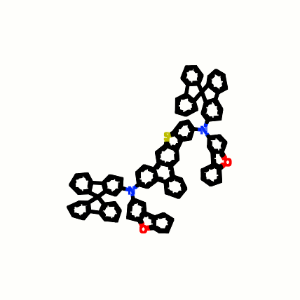 c1ccc2c(c1)-c1ccccc1C21c2ccccc2-c2ccc(N(c3ccc4oc5ccccc5c4c3)c3ccc4sc5cc6c7ccc(N(c8ccc9c(c8)C8(c%10ccccc%10-c%10ccccc%108)c8ccccc8-9)c8ccc9oc%10ccccc%10c9c8)cc7c7ccccc7c6cc5c4c3)cc21